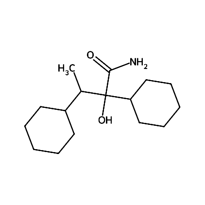 CC(C1CCCCC1)C(O)(C(N)=O)C1CCCCC1